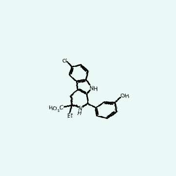 CCC1(C(=O)O)Cc2c([nH]c3ccc(Cl)cc23)C(c2cccc(O)c2)N1